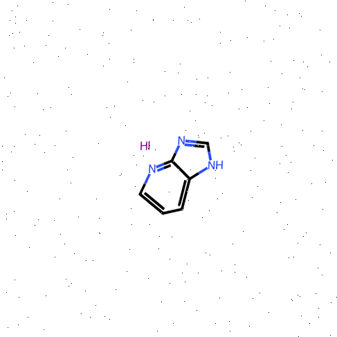 I.c1cnc2nc[nH]c2c1